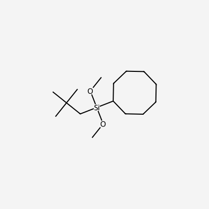 CO[Si](CC(C)(C)C)(OC)C1CCCCCCC1